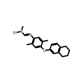 CCN(C)/C=N/c1cc(C)c(Oc2ccc3c(c2)CCCC3)cc1C